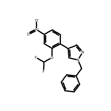 O=[N+]([O-])c1ccc(-c2cnn(Cc3ccccc3)c2)c(OC(F)F)c1